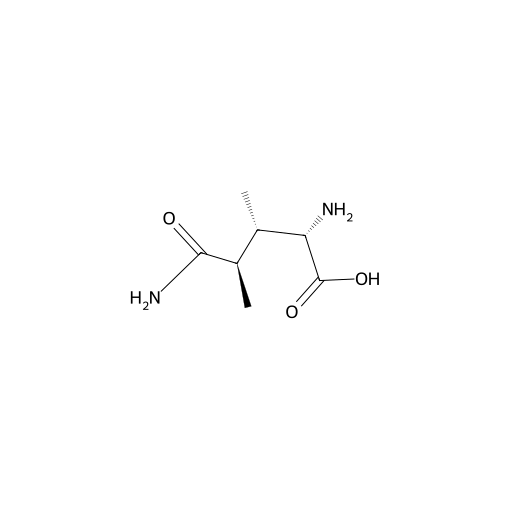 C[C@H]([C@H](N)C(=O)O)[C@@H](C)C(N)=O